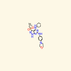 CS(=O)(=O)c1n[nH]c2nc(Nc3ccc(N4CCOCC4)cc3)nc(NC3CCCCC3)c12